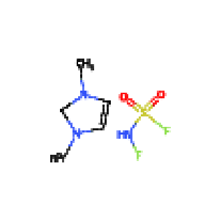 CCCN1C=CN(C)C1.O=S(=O)(F)NF